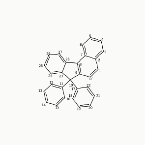 [c]1cc2ccccc2c2c1C(c1ccccc1)(c1ccccc1)c1ccccc1-2